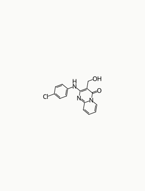 O=c1c(CO)c(Nc2ccc(Cl)cc2)nc2ccccn12